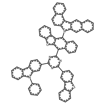 c1ccc(-n2c3ccccc3c3ccc(-c4nc(-c5ccc6sc7ccccc7c6c5)nc(-c5c6ccccc6c(-n6c7cc8ccccc8cc7c7c8ccccc8ccc76)c6c5oc5ccccc56)n4)cc32)cc1